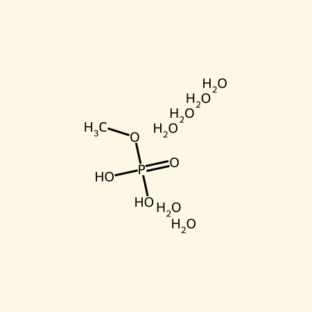 COP(=O)(O)O.O.O.O.O.O.O